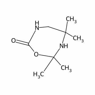 CC1(C)CNC(=O)OC(C)(C)N1